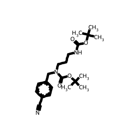 CC(C)(C)OC(=O)NCCCN(Cc1ccc(C#N)cc1)C(=O)OC(C)(C)C